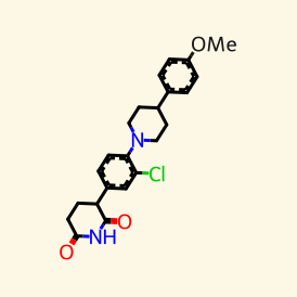 COc1ccc(C2CCN(c3ccc(C4CCC(=O)NC4=O)cc3Cl)CC2)cc1